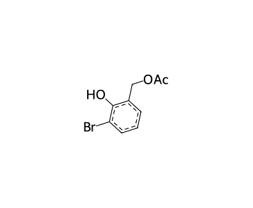 CC(=O)OCc1cccc(Br)c1O